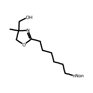 CCCCCCCCCCCCCCCC1=NC(C)(CO)CO1